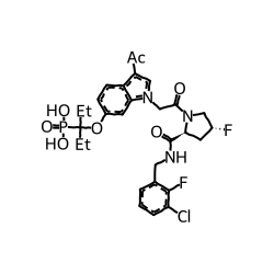 CCC(CC)(Oc1ccc2c(C(C)=O)cn(CC(=O)N3C[C@H](F)C[C@H]3C(=O)NCc3cccc(Cl)c3F)c2c1)P(=O)(O)O